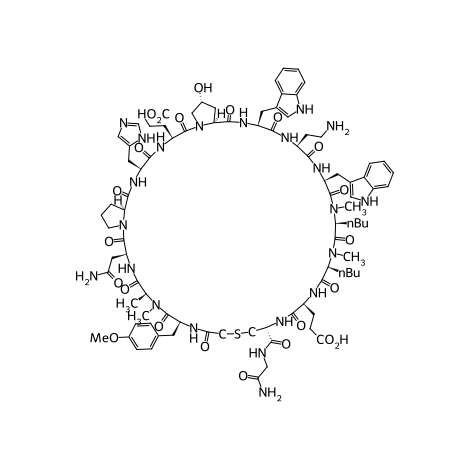 CCCC[C@H]1C(=O)N(C)[C@@H](CCCC)C(=O)N[C@@H](CCC(=O)O)C(=O)N[C@H](C(=O)NCC(N)=O)CSCC(=O)N[C@@H](Cc2ccc(OC)cc2)C(=O)N(C)[C@@H](C)C(=O)N[C@@H](CC(N)=O)C(=O)N2CCC[C@H]2C(=O)N[C@@H](Cc2cnc[nH]2)C(=O)N[C@@H](CCC(=O)O)C(=O)N2C[C@H](O)C[C@H]2C(=O)N[C@@H](Cc2c[nH]c3ccccc23)C(=O)N[C@@H](CCN)C(=O)N[C@@H](Cc2c[nH]c3ccccc23)C(=O)N1C